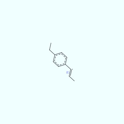 C/C=[C]/c1ccc(CC)cc1